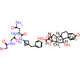 C[C@]12C=CC(=O)C=C1CC[C@@H]1[C@@H]2[C@@H](O)C[C@@]2(C)[C@H]1C[C@H]1O[C@@H](c3ccc(CC45CC(NC(=O)[C@H](CC(N)=O)NC(=O)CNC(=O)CBr)(C4)C5)cc3)O[C@]12C(=O)CO